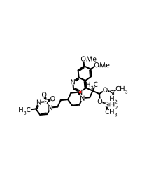 COc1cc2ncnc(C(C)(CN3CCC(CCN4C=CC(C)=NS4(=O)=O)CC3)C(O[SiH2]C)O[SiH2]C)c2cc1OC